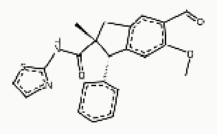 COc1cc2c(cc1C=O)C[C@@](C)(C(=O)Nc1nccs1)[C@H]2c1ccccc1